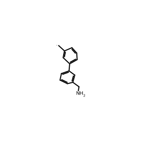 [CH2]c1cccc(-c2cccc(CN)c2)c1